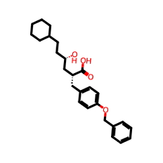 O=C(O)[C@H](Cc1ccc(OCc2ccccc2)cc1)C[C@@H](O)CCC1CCCCC1